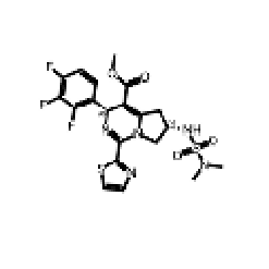 COC(=O)C1=C2C[C@H](NS(=O)(=O)N(C)C)CN2C(c2nccs2)=N[C@H]1c1ccc(F)c(F)c1F